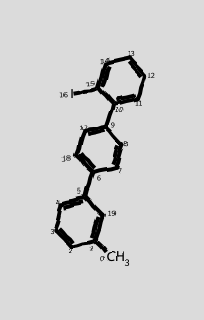 Cc1cccc(-c2ccc(-c3ccccc3I)cc2)c1